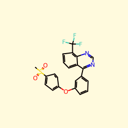 CS(=O)(=O)c1ccc(Oc2cccc(-c3ncnc4c(C(F)(F)F)cccc34)c2)cc1